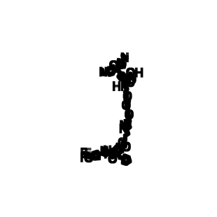 CN(C)c1ccc2c(c1)OC1=CC(N(C)C)C=CC1=C2c1ccc(C(=O)NCCOCCOCCOCCn2cc(CCCOC(=O)N3CCN(C(=O)n4cc(-c5ccc(OC(F)(F)F)cc5)nn4)C(Cc4ccccc4)C3)nn2)c(C(=O)O)c1